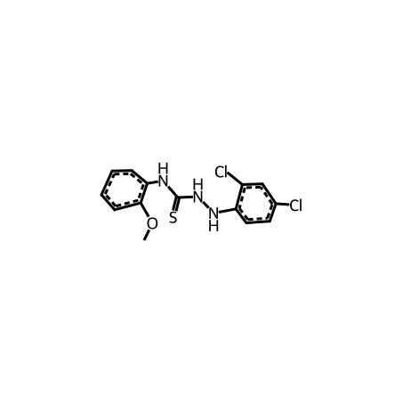 COc1ccccc1NC(=S)NNc1ccc(Cl)cc1Cl